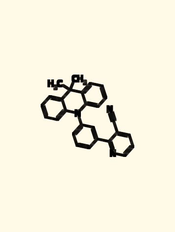 CC1(C)c2ccccc2N(c2cccc(-c3ncccc3C#N)c2)c2ccccc21